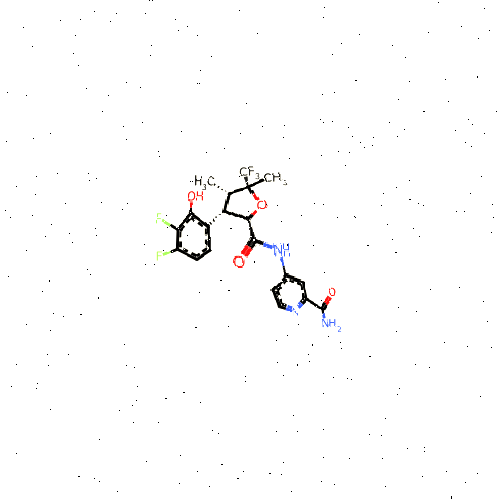 C[C@H]1[C@@H](c2ccc(F)c(F)c2O)[C@H](C(=O)Nc2ccnc(C(N)=O)c2)O[C@]1(C)C(F)(F)F